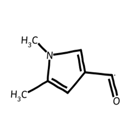 Cc1cc([C]=O)cn1C